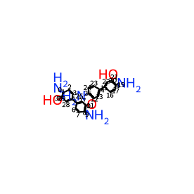 Nc1ccc(-c2ccc(N)c(Oc3cc(-c4ccc(N)c(O)c4)ccc3N)c2)cc1O